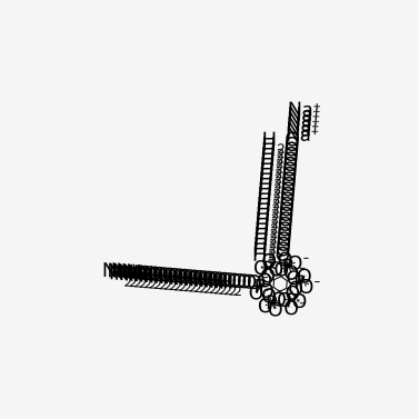 O.O.O.O.O.O.O.O.O.O.O.O.O.O.O.O.O.O.O.O.O.O.O.O.O.O.O.O.O.O.O.O.O.O.O.O.O.O.O.O.O.O.O.O.O.O.O.O=P([O-])([O-])O[C@H]1[C@H](OP(=O)([O-])[O-])[C@@H](OP(=O)([O-])[O-])[C@H](OP(=O)([O-])[O-])[C@@H](OP(=O)([O-])[O-])[C@H]1OP(=O)([O-])[O-].[Na+].[Na+].[Na+].[Na+].[Na+].[Na+].[Na+].[Na+].[Na+].[Na+].[Na+].[Na+]